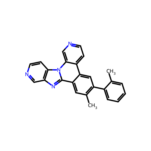 Cc1ccccc1-c1cc2c3ccncc3n3c4ccncc4nc3c2cc1C